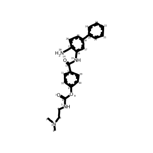 CN(C)CCNC(=O)Oc1ccc(C(=O)Nc2cc(-c3ccccc3)ccc2N)cc1